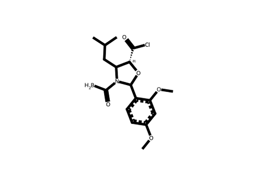 BC(=O)N1C(c2ccc(OC)cc2OC)O[C@@H](C(=O)Cl)C1CC(C)C